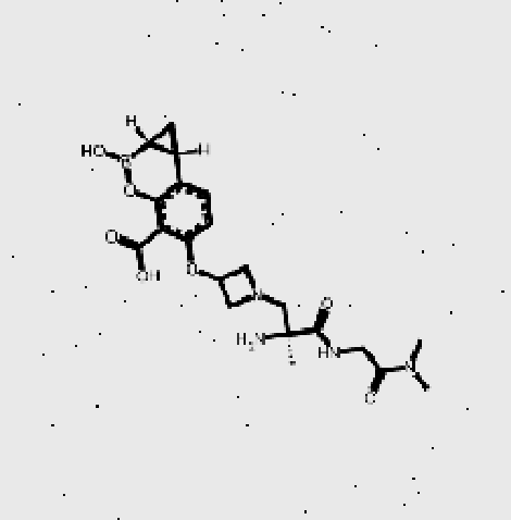 CN(C)C(=O)CNC(=O)[C@@](C)(N)CN1CC(Oc2ccc3c(c2C(=O)O)OB(O)[C@@H]2C[C@H]32)C1